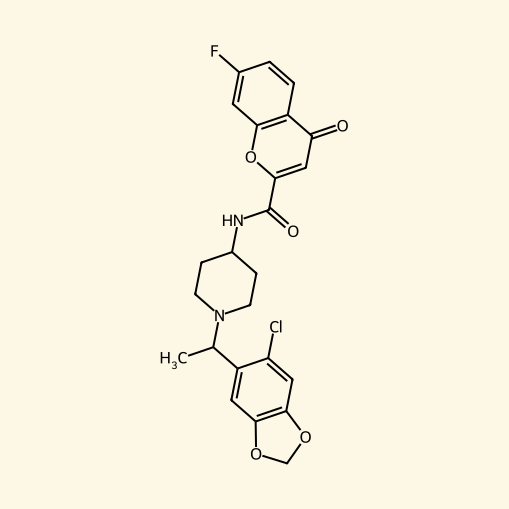 CC(c1cc2c(cc1Cl)OCO2)N1CCC(NC(=O)c2cc(=O)c3ccc(F)cc3o2)CC1